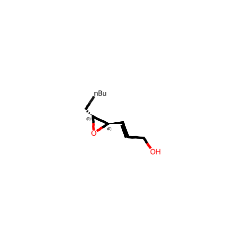 CCCCC[C@H]1O[C@@H]1C=CCO